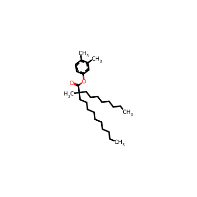 CCCCCCCCCCC(C)(CCCCCCCC)C(=O)Oc1ccc(C)c(C)c1